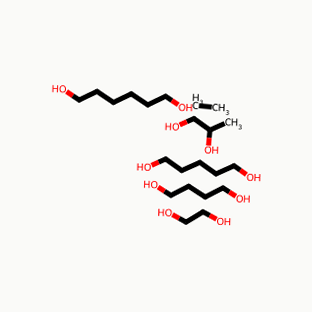 CC.CC(O)CO.OCCCCCCO.OCCCCCO.OCCCCO.OCCO